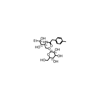 CC[C@@H](O)[C@@H](O)[C@H](CO[C@H]1OC(CO)[C@@H](O)C(O)[C@@H]1O)NC(=O)Cc1ccc(C)cc1